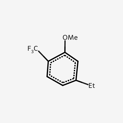 CCc1ccc(C(F)(F)F)c(OC)c1